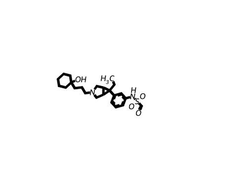 CCC1(c2cccc(NS(=O)(=O)C=O)c2)C2CN(CCCC3(O)CCCCC3)CC21